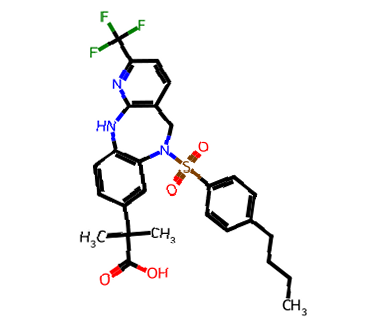 CCCCc1ccc(S(=O)(=O)N2Cc3ccc(C(F)(F)F)nc3Nc3ccc(C(C)(C)C(=O)O)cc32)cc1